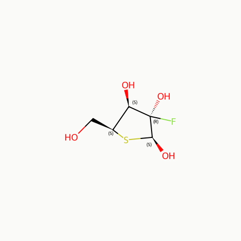 OC[C@@H]1S[C@H](O)[C@](O)(F)[C@@H]1O